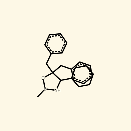 CB1NC(C2CCCCC2)C(Cc2ccccc2)(Cc2ccccc2)O1